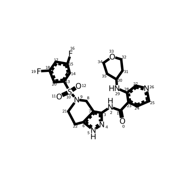 O=C(Nc1n[nH]c2c1CN(S(=O)(=O)c1cc(F)cc(F)c1)CC2)c1ccncc1NC1CCOCC1